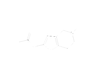 CC(=O)Oc1cc2c(s1)CCN(C)C2